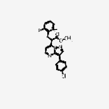 COC(=O)C(Cc1c(F)cccc1Cl)c1ccnc2c(-c3ccc(Cl)cc3)cnn12